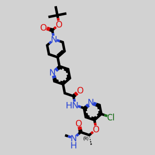 CNC(=O)[C@@H](C)Oc1cc(NC(=O)Cc2ccc(C3=CCN(C(=O)OC(C)(C)C)CC3)nc2)ncc1Cl